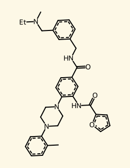 CCN(C)Cc1cccc(CNC(=O)c2ccc(N3CCN(c4ccccc4C)CC3)c(NC(=O)c3ccco3)c2)c1